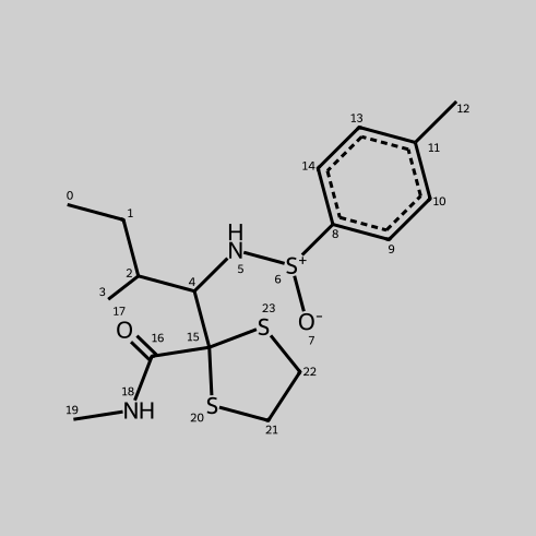 CCC(C)C(N[S+]([O-])c1ccc(C)cc1)C1(C(=O)NC)SCCS1